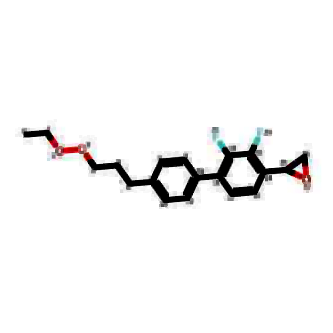 CCOOCCCc1ccc(-c2ccc(C3CO3)c(F)c2F)cc1